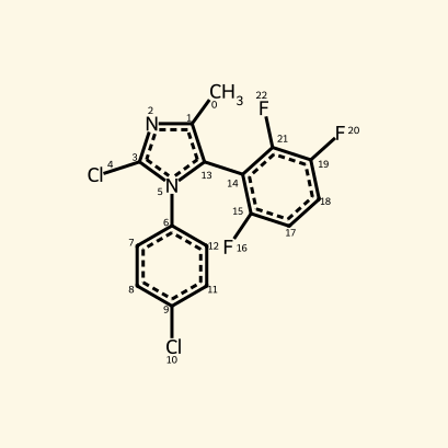 Cc1nc(Cl)n(-c2ccc(Cl)cc2)c1-c1c(F)ccc(F)c1F